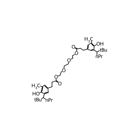 CCCC(c1cc(CCC(=O)OCCOCCOCCOC(=O)CCc2cc(C)c(O)c(C(CCC)C(C)(C)C)c2)cc(C)c1O)C(C)(C)C